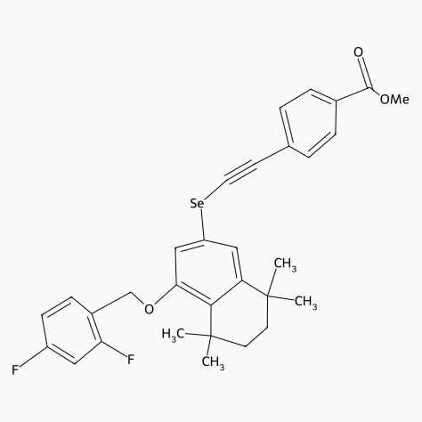 COC(=O)c1ccc(C#C[Se]c2cc(OCc3ccc(F)cc3F)c3c(c2)C(C)(C)CCC3(C)C)cc1